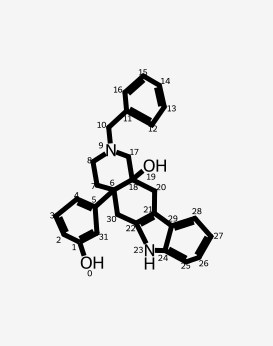 Oc1cccc(C23CCN(Cc4ccccc4)CC2(O)Cc2c([nH]c4ccccc24)C3)c1